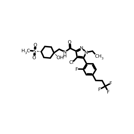 CCn1nc(C(=O)NC[C@]2(O)CC[C@@H](S(C)(=O)=O)CC2)c(Cl)c1-c1ccc(CCC(F)(F)F)cc1F